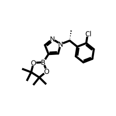 C[C@H](c1ccccc1Cl)n1cc(B2OC(C)(C)C(C)(C)O2)cn1